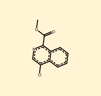 COC(=O)c1ncc(Cl)c2ccccc12